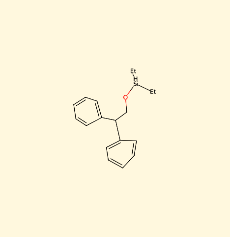 CC[SiH](CC)OCC(c1ccccc1)c1ccccc1